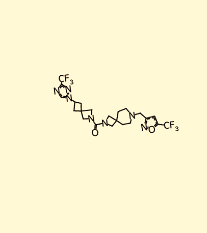 O=C(N1CC2(CCN(Cc3cc(C(F)(F)F)on3)CC2)C1)N1CC2(CC(n3cnc(C(F)(F)F)n3)C2)C1